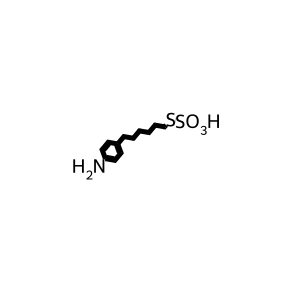 Nc1ccc(CCCCCCSS(=O)(=O)O)cc1